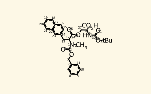 CN(C(=O)OCc1ccccc1)[C@@H](Cc1ccc2ccccc2c1)C(=O)OC[C@H](NC(=O)OC(C)(C)C)C(=O)O